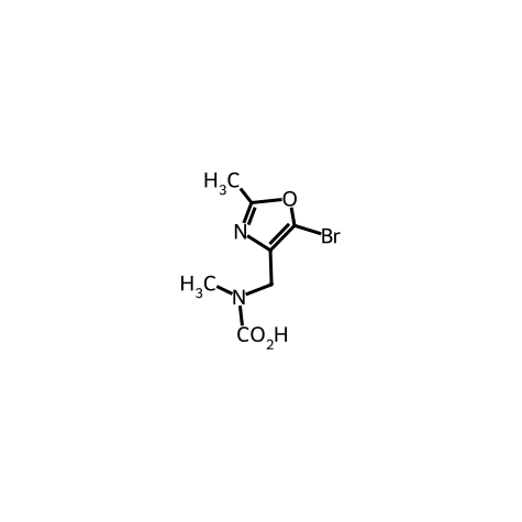 Cc1nc(CN(C)C(=O)O)c(Br)o1